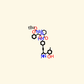 Cc1ccc(O)c(-c2nn(C)cc2C#Cc2ccc(NC(=O)[C@@H]3CCCCN3C(=O)C(NC(=O)OC(C)(C)C)c3ccccc3)cc2)c1